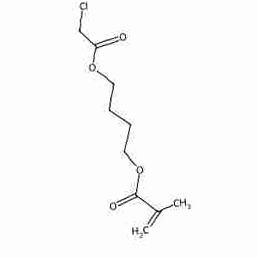 C=C(C)C(=O)OCCCCOC(=O)CCl